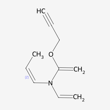 C#CCOC(=C)N(C=C)/C=C\C